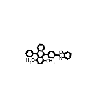 Cc1ccc(C)c2c(-c3ccc(-c4nc5ccccc5o4)cc3)c3ccccc3c(-c3ccccc3)c12